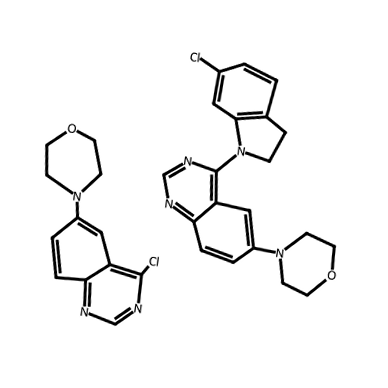 Clc1ccc2c(c1)N(c1ncnc3ccc(N4CCOCC4)cc13)CC2.Clc1ncnc2ccc(N3CCOCC3)cc12